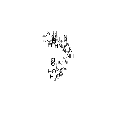 COc1cc(CCNc2ncc(C#N)c(NCC3C[C@H]4CCC[C@@H](C3)[C@@H]4N)n2)cc(OC)c1O